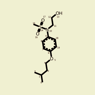 CC(C)CCOc1ccc(N(CCO)S(C)(=O)=O)cc1